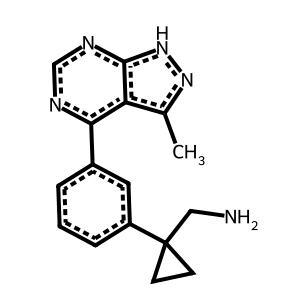 Cc1n[nH]c2ncnc(-c3cccc(C4(CN)CC4)c3)c12